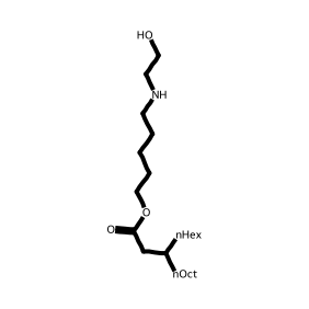 CCCCCCCCC(CCCCCC)CC(=O)OCCCCCNCCO